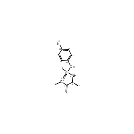 C=C(OC)[C@H](C)NP(C)(=S)Oc1ccc(Br)cc1